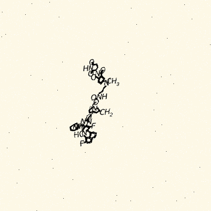 C#Cc1c(F)ccc2cccc(-c3ncc4c(N5CC6CCC(C5)N6)nc(OC[C@@]56CC[C@@H](COC(=O)NCCCCN(C)c7ccc8c(c7)C(=O)N(C7CCC(=O)NC7=O)C8=O)N5CC(=C)C6)nc4c3F)c12